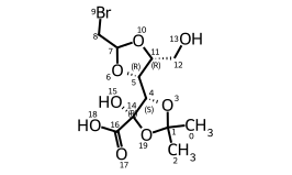 CC1(C)O[C@@H]([C@@H]2OC(CBr)O[C@@H]2CO)[C@](O)(C(=O)O)O1